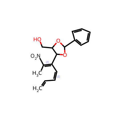 C=C/C=C\C(=C(/C)[N+](=O)[O-])C1OC(c2ccccc2)OC1CO